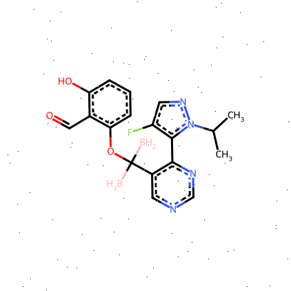 BC(B)(Oc1cccc(O)c1C=O)c1cncnc1-c1c(F)cnn1C(C)C